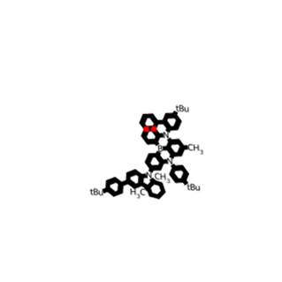 Cc1cc2c3c(c1)N(c1ccc(C(C)(C)C)cc1-c1ccccc1)c1ccccc1B3c1ccc(N3c4ccc(-c5ccc(C(C)(C)C)cc5)cc4C4(C)CCCCC34C)cc1N2c1ccc(C(C)(C)C)cc1